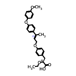 CCO[C@@H](Cc1ccc(OC/C=C(\C)c2ccc(Oc3ccc(OC)cc3)cc2)cc1)C(=O)O